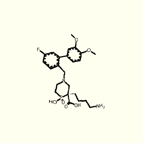 COc1ccc(-c2cc(F)ccc2CN2CCP(=O)(O)[C@](CCCCN)(C(=O)O)C2)cc1OC